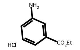 CCOC(=O)c1cccc(N)c1.Cl